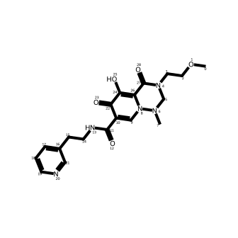 COCCN1CN(C)n2cc(C(=O)NCCc3cccnc3)c(=O)c(O)c2C1=O